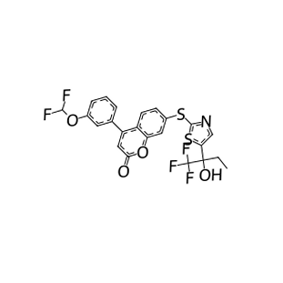 CCC(O)(c1cnc(Sc2ccc3c(-c4cccc(OC(F)F)c4)cc(=O)oc3c2)s1)C(F)(F)F